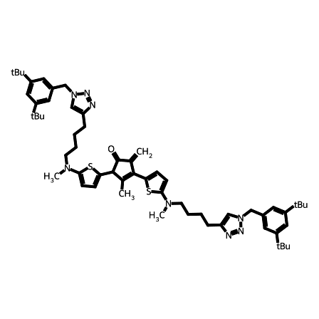 C=C1C(=O)C(c2ccc(N(C)CCCCc3cn(Cc4cc(C(C)(C)C)cc(C(C)(C)C)c4)nn3)s2)C(C)=C1c1ccc(N(C)CCCCc2cn(Cc3cc(C(C)(C)C)cc(C(C)(C)C)c3)nn2)s1